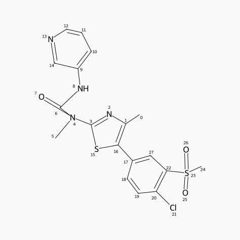 Cc1nc(N(C)C(=O)Nc2cccnc2)sc1-c1ccc(Cl)c(S(C)(=O)=O)c1